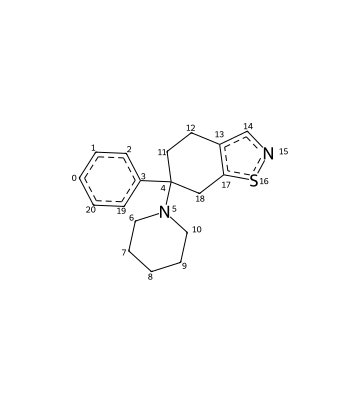 c1ccc(C2(N3CCCCC3)CCc3cnsc3C2)cc1